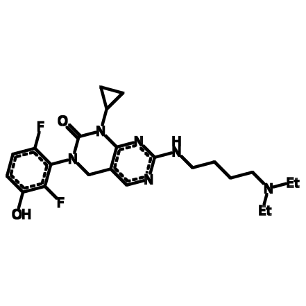 CCN(CC)CCCCNc1ncc2c(n1)N(C1CC1)C(=O)N(c1c(F)ccc(O)c1F)C2